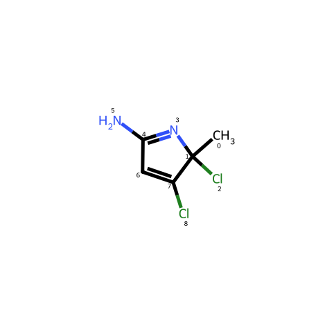 CC1(Cl)N=C(N)C=C1Cl